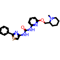 CN1CCCCC1COc1cccc(NC(=O)Nc2csc(-c3ccccc3)n2)n1